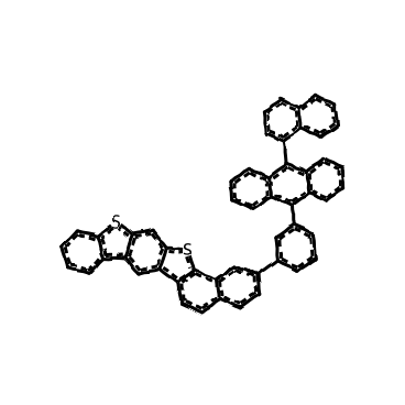 c1cc(-c2ccc3ccc4c5cc6c(cc5sc4c3c2)sc2ccccc26)cc(-c2c3ccccc3c(-c3cccc4ccccc34)c3ccccc23)c1